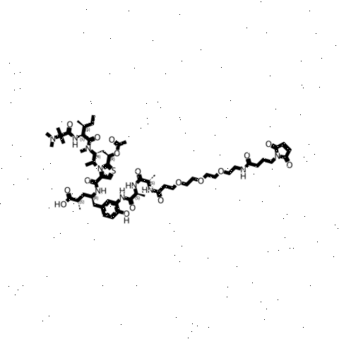 CC[C@H](C)[C@H](NC(=O)C(C)(C)N(C)C)C(=O)N(C)[C@H](C[C@@H](OC(C)=O)c1nc(C(=O)N[C@@H](Cc2ccc(O)c(NC(=O)[C@H](C)NC(=O)[C@H](C)NC(=O)CCOCCOCCOCCNC(=O)CCCN3C(=O)C=CC3=O)c2)C[C@H](C)C(=O)O)cs1)C(C)C